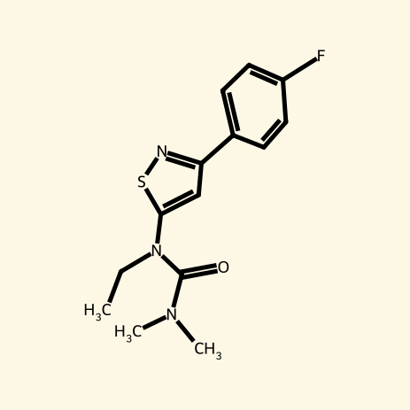 CCN(C(=O)N(C)C)c1cc(-c2ccc(F)cc2)ns1